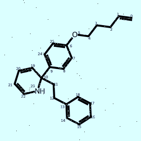 C=CCCCOc1ccc(C2(CCc3ccccc3)C=CC=CN2)cc1